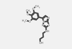 COc1cc(-c2cnc3sc(NCCCO)nn23)cc(OC)c1OC